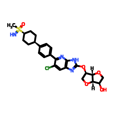 CS(=N)(=O)[C@H]1CC[C@@H](c2ccc(-c3nc4[nH]c(O[C@@H]5CO[C@H]6[C@@H]5OC[C@H]6O)nc4cc3Cl)cc2)CC1